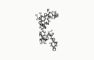 CCN(C(=O)c1cc(-c2cnn(-c3ncccc3C(=O)N(CC)[C@@H](C)COc3ncc(C(F)(F)F)cc3F)n2)cnc1-n1nccn1)[C@@H](C)COc1ccc(Cl)cn1